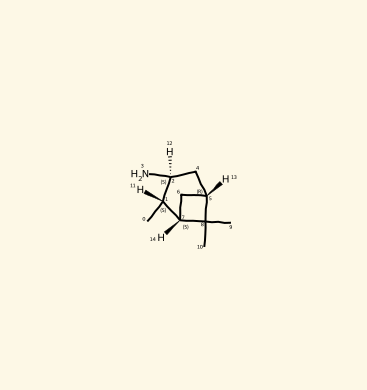 C[C@@H]1[C@@H](N)C[C@H]2C[C@@H]1C2(C)C